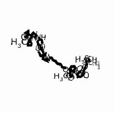 CC1CCCC1N1C(=O)C2(CC2)c2cnc(NC3CCN(S(=O)(=O)N4CCC5(CCN(CCCCCCCOc6cccc7c6n(C)c(=O)n7[C@@H]6CCC(=O)N(COCC[Si](C)(C)C)C6=O)C5)C4)CC3)nc21